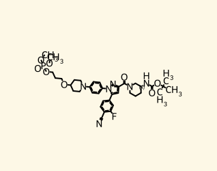 COP(=O)(OC)OCCCOC1CCN(c2ccc(-n3nc(C(=O)N4CCC[C@@H](NC(=O)OC(C)(C)C)C4)cc3-c3ccc(C#N)c(F)c3)cc2)CC1